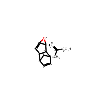 C1=CC2CC1C1C=C3OC3C21.C=C(C)C(=O)O